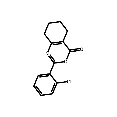 O=c1oc(-c2ccccc2Cl)nc2c1CCCC2